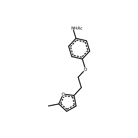 CC(=O)Nc1ccc(OCCc2ccc(C)o2)cc1